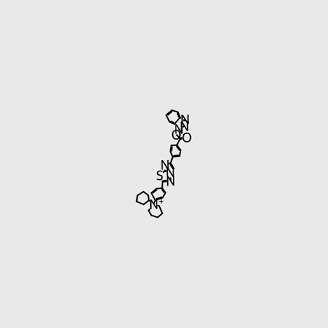 O=C(On1nnc2ccccc21)c1ccc(-c2cn3nc(-c4ccc([N+]5(C6CCCCC6)CCCCC5)cc4)sc3n2)cc1